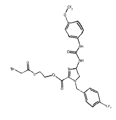 O=C(Nc1ccc(OC(F)(F)F)cc1)NC1CN(Cc2ccc(C(F)(F)F)cc2)C(C(=O)OCCOC(=O)CBr)=N1